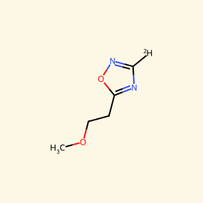 [2H]c1noc(CCOC)n1